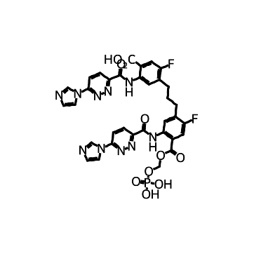 O=C(Nc1cc(CCCc2cc(NC(=O)c3ccc(-n4ccnc4)nn3)c(C(=O)OCOP(=O)(O)O)cc2F)c(F)cc1C(=O)O)c1ccc(-n2ccnc2)nn1